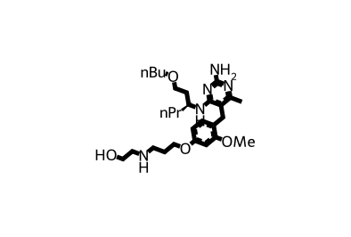 CCCCOCC[C@H](CCC)Nc1nc(N)nc(C)c1Cc1ccc(OCCCNCCO)cc1OC